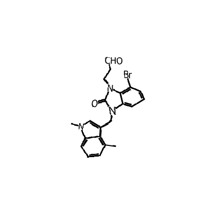 Cc1cccc2c1c(Cn1c(=O)n(CCC=O)c3c(Br)cccc31)cn2C